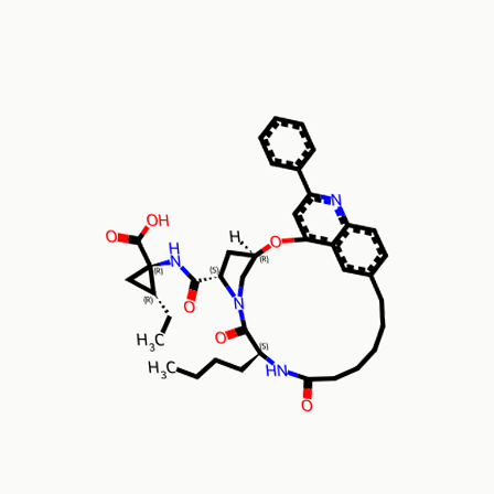 CCCC[C@@H]1NC(=O)CCCCCc2ccc3nc(-c4ccccc4)cc(c3c2)O[C@@H]2C[C@@H](C(=O)N[C@]3(C(=O)O)C[C@H]3CC)N(C2)C1=O